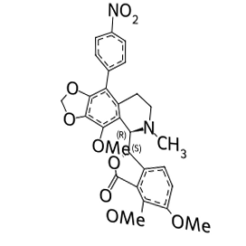 COc1ccc2c(c1OC)C(=O)O[C@@H]2[C@H]1c2c(c(-c3ccc([N+](=O)[O-])cc3)c3c(c2OC)OCO3)CCN1C